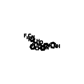 O=C(NCC(c1cnc(C(F)(F)F)nc1)N1CCCCC1)c1c(Cl)ccc2nc(N3CCCNCC3)ccc12